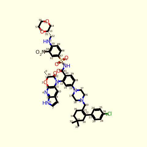 C[C@H]1Oc2nc3[nH]ccc3cc2N(c2cc(N3CCN(CC4=C(c5ccc(Cl)cc5)CC(C)(C)CC4)CC3)ccc2C(=O)NS(=O)(=O)c2ccc(NC[C@H]3COCCO3)c([N+](=O)[O-])c2)C1=O